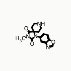 CN1C(=O)N(c2ccc3ocnc3c2)C2(CCNCC2)C1=O